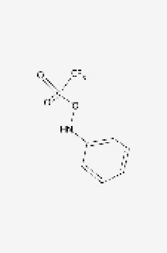 O=S(=O)(ONc1ccccc1)C(F)(F)F